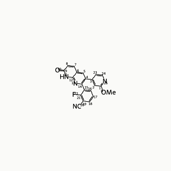 COc1cc(-c2cc3ccc(=O)[nH]c3nc2-c2cccc(C#N)c2F)ccn1